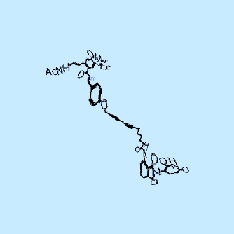 CCOc1cc(C(=O)/C=C/c2ccc(OCC#CC#CCCCCCC(=O)Nc3cccc4c3C(=O)N(C3CCC(=O)NC3=O)C4=O)cc2)c(CCNC(C)=O)cc1OC